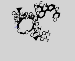 CC(C)C1(OC(=O)N[C@H]2CCCCC/C=C\[C@@H]3C[C@@]3(C(=O)N3C4(CC4)S3(=O)=O)NC(=O)[C@@H]3C[C@]4(CCc5c(c(C(F)(F)F)nc6ccc(OC7CCOCC7)cc56)O4)CN3C2=O)CC1